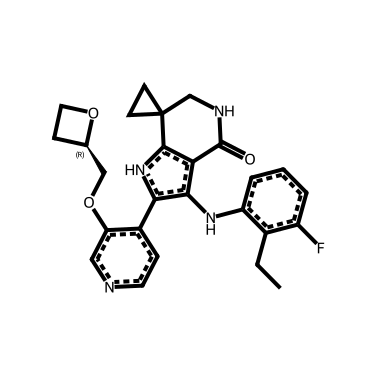 CCc1c(F)cccc1Nc1c(-c2ccncc2OC[C@H]2CCO2)[nH]c2c1C(=O)NCC21CC1